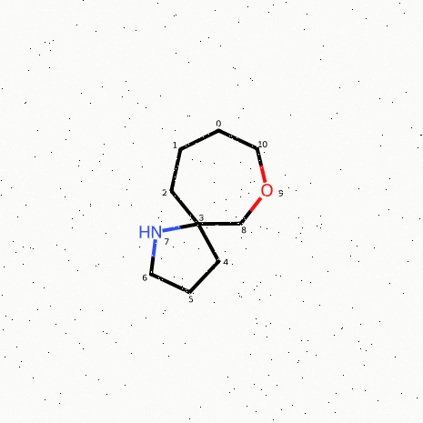 C1CCC2(CCCN2)COC1